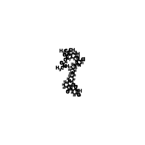 CNC(=O)CON1Cc2cc(Nc3nc(N4CCC5(CCN(CC6CCN(c7cccc8c7C(=O)N(C7CCC(=O)NC7=O)C8=O)CC6)C5)C4)ncc3Cl)ccc2N(C(C)C)C1=O